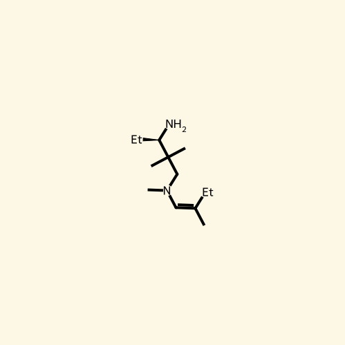 CC/C(C)=C\N(C)CC(C)(C)[C@H](N)CC